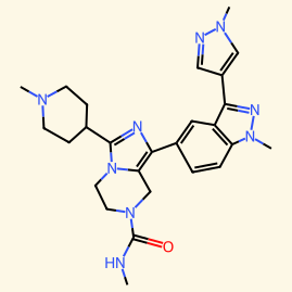 CNC(=O)N1CCn2c(C3CCN(C)CC3)nc(-c3ccc4c(c3)c(-c3cnn(C)c3)nn4C)c2C1